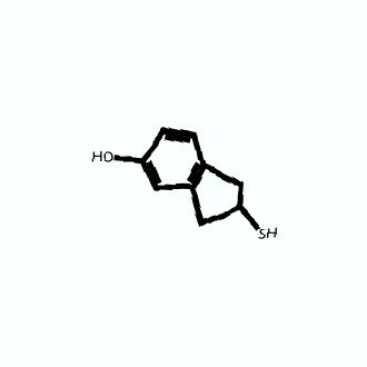 Oc1ccc2c(c1)CC(S)C2